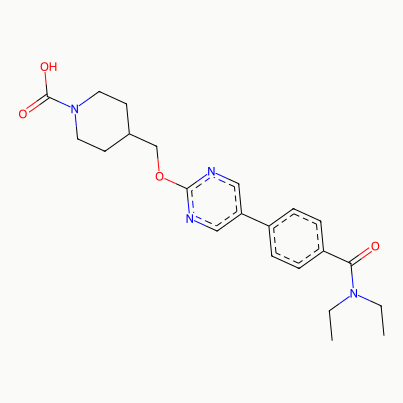 CCN(CC)C(=O)c1ccc(-c2cnc(OCC3CCN(C(=O)O)CC3)nc2)cc1